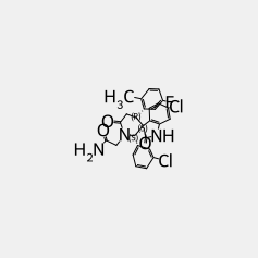 Cc1ccc(F)cc1[C@H]1CC(=O)N(CC(N)=O)[C@@H](c2cccc(Cl)c2)[C@]12C(=O)Nc1cc(Cl)ccc12